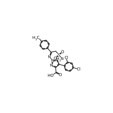 Cc1ccc(C(CS(N)(=O)=O)=Nn2cc(-c3ccc(Cl)cc3Cl)c(C(=O)O)n2)cc1